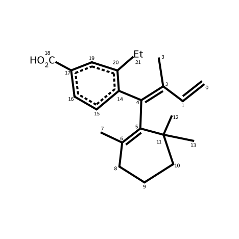 C=CC(C)=C(C1=C(C)CCCC1(C)C)c1ccc(C(=O)O)cc1CC